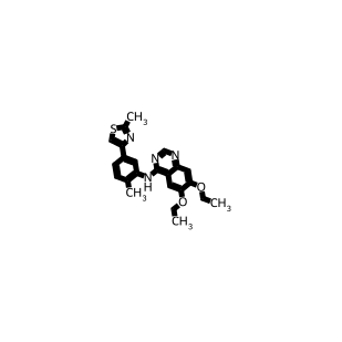 CCOc1cc2ncnc(Nc3cc(-c4csc(C)n4)ccc3C)c2cc1OCC